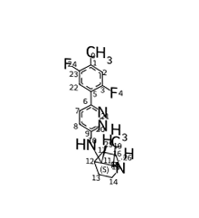 Cc1cc(F)c(-c2ccc(N[C@H]3C4CCN(CC4)[C@@H]3C)nn2)cc1F